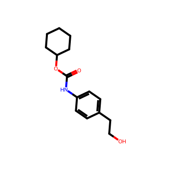 O=C(Nc1ccc(CCO)cc1)OC1CCCCC1